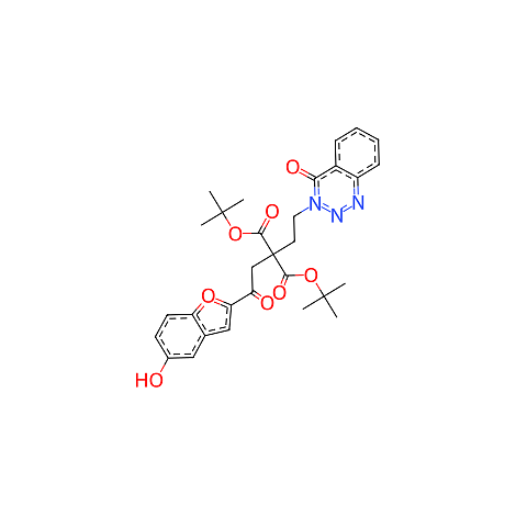 CC(C)(C)OC(=O)C(CCn1nnc2ccccc2c1=O)(CC(=O)c1cc2cc(O)ccc2o1)C(=O)OC(C)(C)C